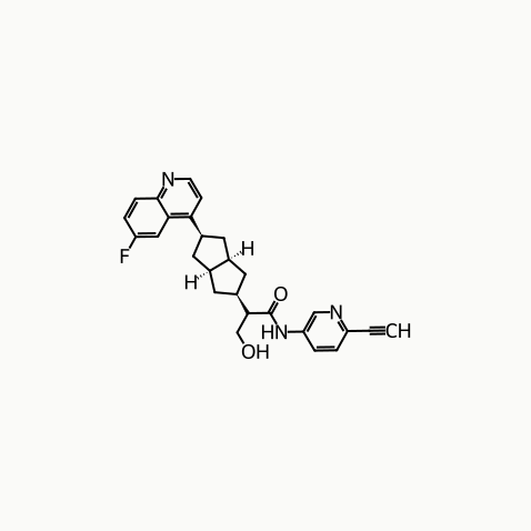 C#Cc1ccc(NC(=O)C(CO)[C@H]2C[C@H]3C[C@@H](c4ccnc5ccc(F)cc45)C[C@H]3C2)cn1